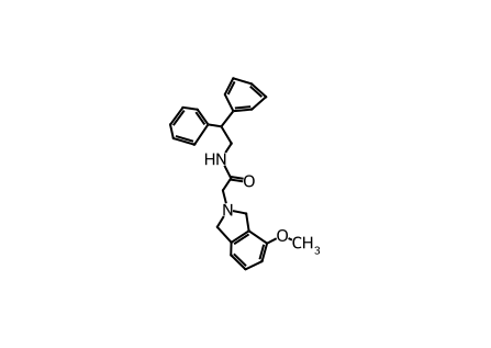 COc1cccc2c1CN(CC(=O)NCC(c1ccccc1)c1ccccc1)C2